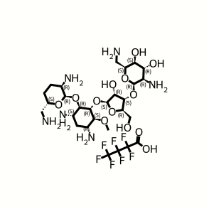 CO[C@@H]1[C@@H](O[C@@H]2O[C@H](CO)[C@@H](O[C@H]3O[C@@H](CN)[C@@H](O)[C@H](O)[C@H]3N)[C@H]2O)[C@H](O[C@H]2O[C@H](CN)CC[C@H]2N)[C@@H](N)C[C@H]1N.O=C(O)C(F)(F)C(F)(F)C(F)(F)F